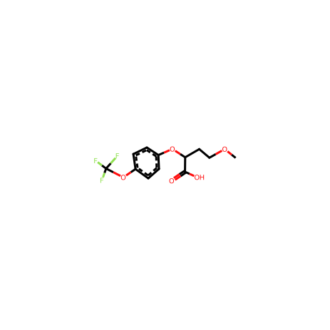 COCCC(Oc1ccc(OC(F)(F)F)cc1)C(=O)O